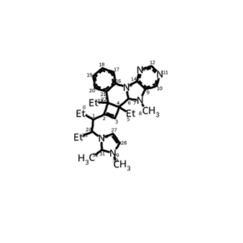 CCC(C1=CC2(CC)C3N(C)c4cncnc4N3c3ccccc3C12CC)C(CC)N1C=CN(C)C1C